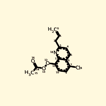 C=CCc1ccc2c(Cl)ccc(OOC(C)=O)c2n1